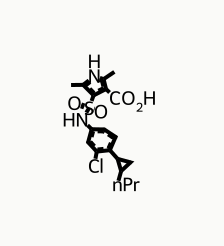 CCCC1CC1c1ccc(NS(=O)(=O)c2c(C)[nH]c(C)c2C(=O)O)cc1Cl